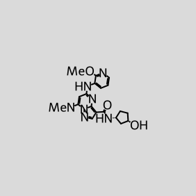 CNc1cc(Nc2cccnc2OC)nc2c(C(=O)N[C@@H]3CC[C@@H](O)C3)cnn12